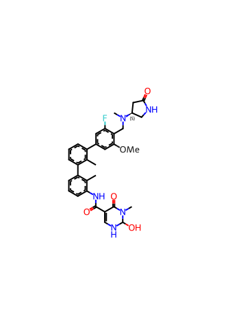 COc1cc(-c2cccc(-c3cccc(NC(=O)C4=CNC(O)N(C)C4=O)c3C)c2C)cc(F)c1CN(C)[C@@H]1CNC(=O)C1